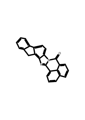 O=c1c2cccc3cccc(c32)c2nc3c4c(ccc3n12)-c1ccccc1C4